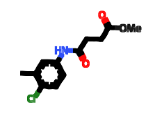 COC(=O)CCC(=O)Nc1ccc(Cl)c(C)c1